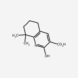 CC1(C)CCCc2cc(C(=O)O)c(O)nc21